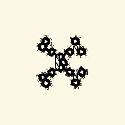 c1ccc(N(c2ccccc2)c2ccc(-c3cc(-c4ccc(-c5cccc6ccccc56)cc4)nc4c3ccc3c(-c5ccc(N(c6ccccc6)c6ccccc6)cc5)cc(-c5ccc(-c6cccc7ccccc67)cc5)nc34)cc2)cc1